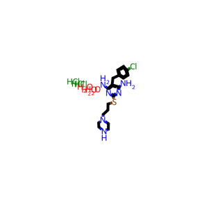 Cl.Cl.Cl.Nc1nc(SCCCN2CCNCC2)nc(N)c1Cc1ccc(Cl)cc1.O.O.O